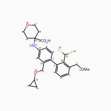 COCc1cccc(-c2ccc(NC3(C(=O)O)CCOCC3)cc2COC2CC2)c1C(F)F